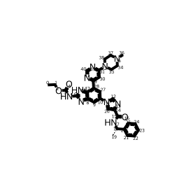 CCOC(=O)Nc1nc2cc(-n3cnc(C(=O)N[C@@H](C)c4ccccc4)c3)cc(-c3cc(N4CCN(C)CC4)ncn3)c2[nH]1